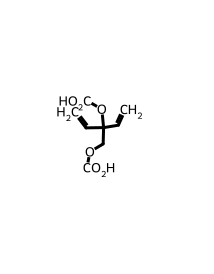 C=CC(C=C)(COC(=O)O)OC(=O)O